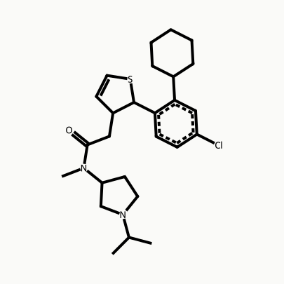 CC(C)N1CCC(N(C)C(=O)CC2C=CSC2c2ccc(Cl)cc2C2CCCCC2)C1